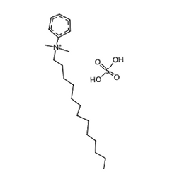 CCCCCCCCCCCCC[N+](C)(C)c1ccccc1.O=S(=O)(O)O